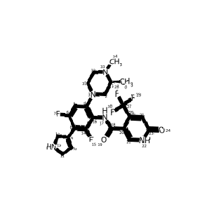 C[C@H]1CN(c2cc(F)c(C3=CCNC3)c(F)c2NC(=O)c2c[nH]c(=O)cc2C(F)(F)F)CCN1C